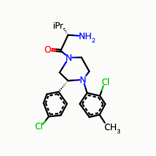 Cc1ccc(N2CCN(C(=O)[C@@H](N)C(C)C)C[C@H]2c2ccc(Cl)cc2)c(Cl)c1